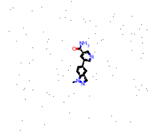 Cn1ncc2cc(-c3cncc(C(N)=O)c3)ccc21